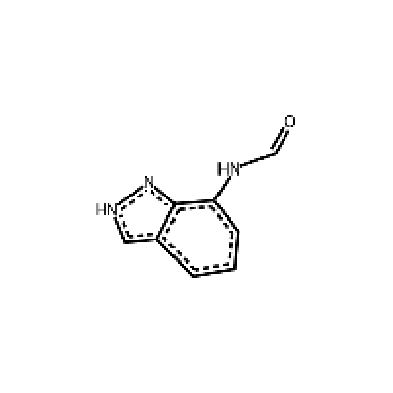 O=CNc1cccc2c[nH]nc12